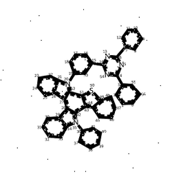 c1ccc(-c2nc(-c3ccccc3)nc(-c3cccc(-n4c5ccccc5c5c6c7ccccc7n(-c7ccccc7)c6c6c7ccccc7sc6c54)c3)n2)cc1